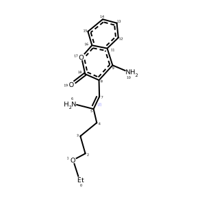 CCOCCC/C(N)=C/c1c(N)c2ccccc2oc1=O